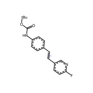 CC(C)(C)OC(=O)Nc1ccc(/C=C/c2ccc(F)nc2)cc1